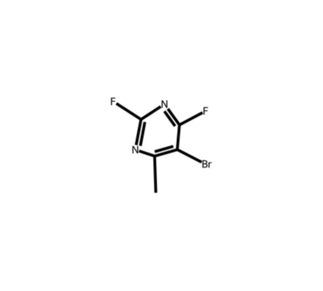 Cc1nc(F)nc(F)c1Br